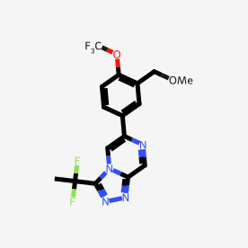 COCc1cc(-c2cn3c(C(C)(F)F)nnc3cn2)ccc1OC(F)(F)F